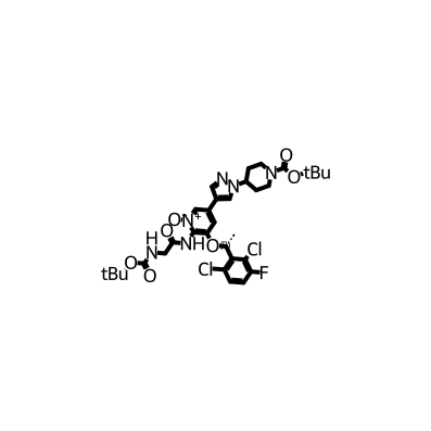 C[C@@H](Oc1cc(-c2cnn(C3CCN(C(=O)OC(C)(C)C)CC3)c2)c[n+]([O-])c1NC(=O)CNC(=O)OC(C)(C)C)c1c(Cl)ccc(F)c1Cl